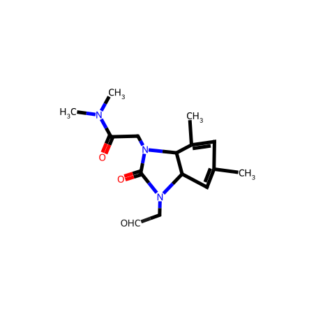 CC1=CC2C(C(C)=C1)N(CC(=O)N(C)C)C(=O)N2CC=O